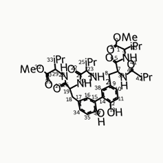 COC(=O)C(NC(=O)C(Cc1ccc(O)c(-c2cc(CC(NC(=O)C(N)C(C)C)C(=O)NC(C(=O)OC)C(C)C)ccc2O)c1)NC(=O)C(C)C)C(C)C